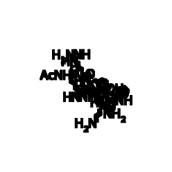 CC(=O)N[C@@H](CCCNC(=N)N)C(=O)N[C@@H](CCCNC(=N)N)C(=O)N[C@@H](Cc1ccc(O)cc1)C(=O)N[C@@H](CC(C)C)C(=O)N[C@@H](Cc1c[nH]c2ccccc12)C(=O)N[C@@H](CCCCN)C(N)=O